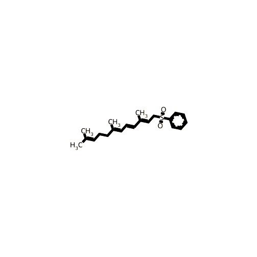 CC(C)=CCC/C(C)=C/C=C/C(C)=C/CS(=O)(=O)c1ccccc1